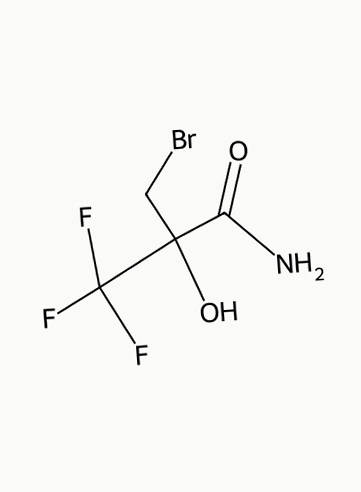 NC(=O)C(O)(CBr)C(F)(F)F